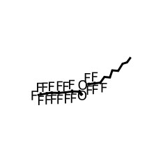 CCCCCCCC(F)C(F)(F)C(F)(F)OC(=O)C(F)(F)C(F)(F)C(F)(F)C(F)(F)C(F)(F)C(F)(F)F